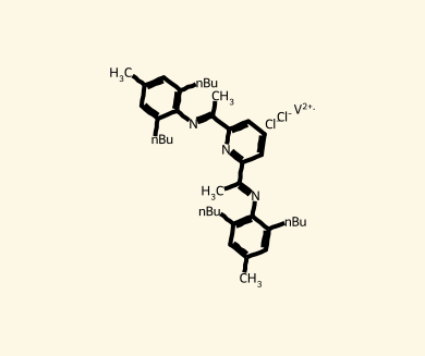 CCCCc1cc(C)cc(CCCC)c1N=C(C)c1cccc(C(C)=Nc2c(CCCC)cc(C)cc2CCCC)n1.[Cl-].[Cl-].[V+2]